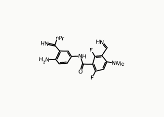 CCCC(=N)c1cc(NC(=O)c2c(F)cc(NC)c(C=N)c2F)ccc1N